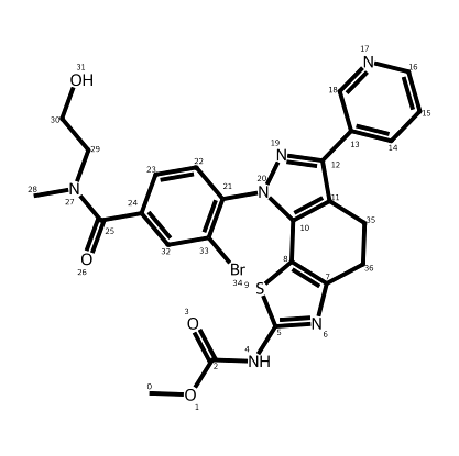 COC(=O)Nc1nc2c(s1)-c1c(c(-c3cccnc3)nn1-c1ccc(C(=O)N(C)CCO)cc1Br)CC2